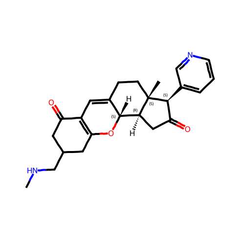 CNCC1CC(=O)C2=C(C1)O[C@@H]1C(=C2)CC[C@]2(C)[C@@H](c3cccnc3)C(=O)C[C@@H]12